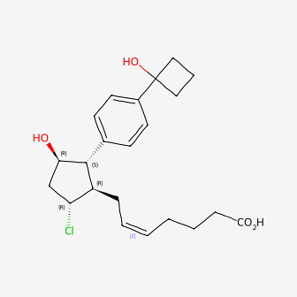 O=C(O)CCC/C=C\C[C@@H]1[C@@H](c2ccc(C3(O)CCC3)cc2)[C@H](O)C[C@H]1Cl